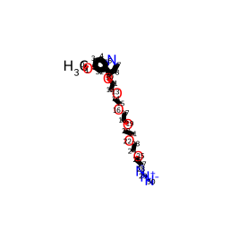 COc1ccc2nccc(OCCOCCOCCOCCOCCOCCN=[N+]=[N-])c2c1